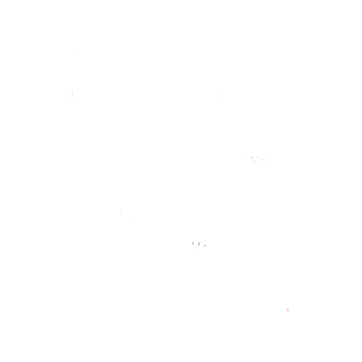 COc1cc(-c2ccc(O)cc2)c(OC)c(OS(C)(=O)=O)c1-c1ccc(OCC=C(C)C)c(O)c1